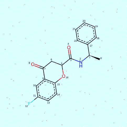 C[C@@H](NC(=O)C1CC(=O)c2cc(F)ccc2O1)c1ccccc1